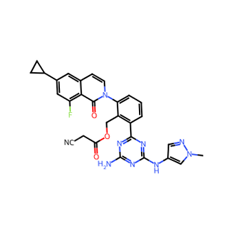 Cn1cc(Nc2nc(N)nc(-c3cccc(-n4ccc5cc(C6CC6)cc(F)c5c4=O)c3COC(=O)CC#N)n2)cn1